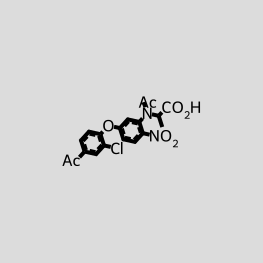 CC(=O)c1ccc(Oc2ccc([N+](=O)[O-])c(N(C(C)=O)C(C)C(=O)O)c2)c(Cl)c1